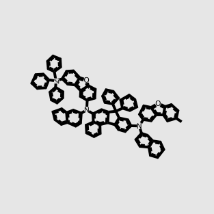 Cc1ccc2oc3ccc(N(c4ccc5c(c4)C(c4ccccc4)(c4ccccc4)c4cc(N(c6ccc7ccccc7c6)c6ccc7oc8ccc([Si](c9ccccc9)(c9ccccc9)c9ccccc9)cc8c7c6)c6ccccc6c4-5)c4ccc5ccccc5c4)cc3c2c1